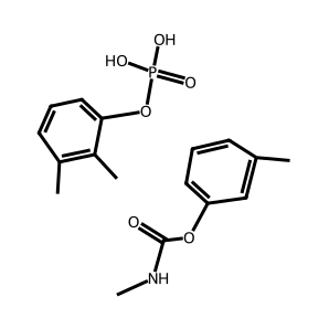 CNC(=O)Oc1cccc(C)c1.Cc1cccc(OP(=O)(O)O)c1C